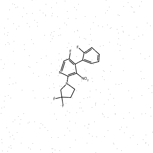 O=[N+]([O-])c1c(N2CCC(F)(F)C2)ncc(F)c1-c1ccccc1F